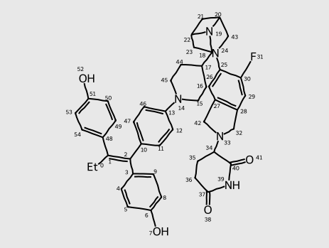 CCC(=C(c1ccc(O)cc1)c1ccc(N2CCC(CN3C4CC3CN(c3cc5c(cc3F)CN(C3CCC(=O)NC3=O)C5)C4)CC2)cc1)c1ccc(O)cc1